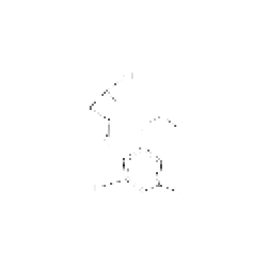 C[C@]1(O)C[C@@H](Nc2c(N)cc(Br)cc2OC(F)F)C1